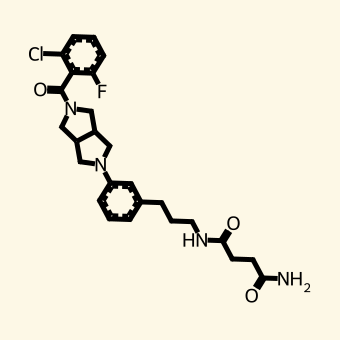 NC(=O)CCC(=O)NCCCc1cccc(N2CC3CN(C(=O)c4c(F)cccc4Cl)CC3C2)c1